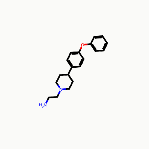 NCCN1CCC(c2ccc(Oc3ccccc3)cc2)CC1